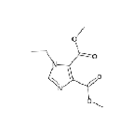 CCn1cnc(C(=O)OC)c1C(=O)OC